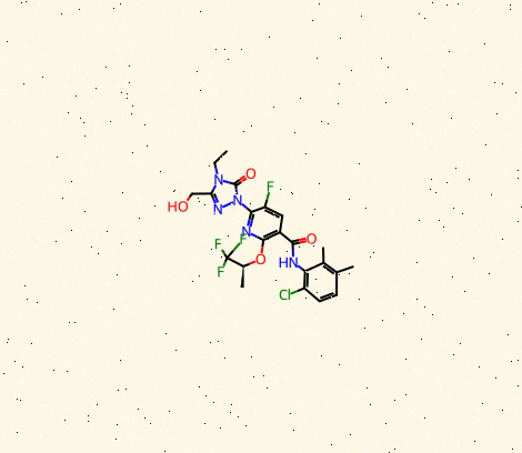 CCn1c(CO)nn(-c2nc(O[C@@H](C)C(F)(F)F)c(C(=O)Nc3c(Cl)ccc(C)c3C)cc2F)c1=O